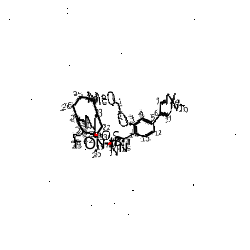 COCOc1cc(-c2cnn(C)c2)ccc1-c1nnc(N(C)[C@@H]2CC3CCCC([C@@H]2F)N3C(=O)OC(C)(C)C)s1